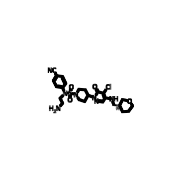 N#Cc1ccc(N(CCN)S(=O)(=O)N2CCC(n3ncc(NC[C@H]4CCCOC4)c(Cl)c3=O)CC2)cc1